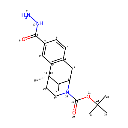 CC1C2Cc3ccc(C(=O)NN)cc3[C@]1(C)CCN2C(=O)OC(C)(C)C